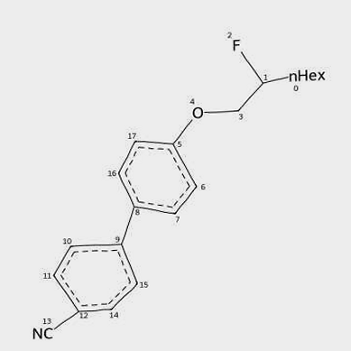 CCCCCCC(F)COc1ccc(-c2ccc(C#N)cc2)cc1